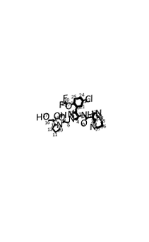 O=C(Nc1cn(CC(=O)N2CCC[C@H]2C(O)CO)nc1-c1cc(Cl)ccc1OC(F)F)c1cnn2cccnc12